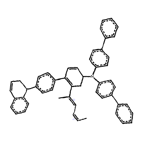 C/C=C\C=C(/C)C1=C(c2ccc(C3CC=Cc4ccccc43)cc2)C=CC(N(c2ccc(-c3ccccc3)cc2)c2ccc(-c3ccccc3)cc2)C1